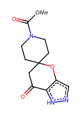 COC(=O)N1CCC2(CC1)CC(=O)c1[nH]ncc1O2